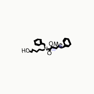 CO/C(=C\C=C\c1ccccc1)C(=O)N(CCCCCO)Cc1ccccc1